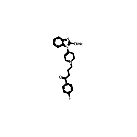 COc1nc2ccccc2n1C1=CCN(CCCC(=O)c2ccc(F)cc2)CC1